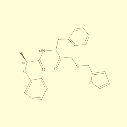 C[C@H](Oc1ccccc1)C(=O)NC(Cc1ccccc1)C(=O)CSCc1ccco1